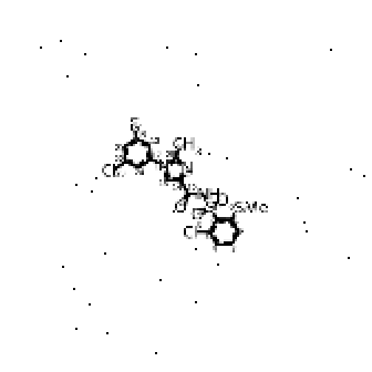 CSc1cccc(Cl)c1S(=O)(=O)NC(=O)c1cn(-c2cc(F)cc(Cl)c2)c(C)n1